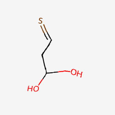 OC(O)CC=S